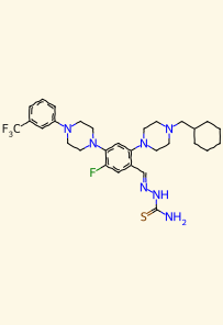 NC(=S)N/N=C/c1cc(F)c(N2CCN(c3cccc(C(F)(F)F)c3)CC2)cc1N1CCN(CC2CCCCC2)CC1